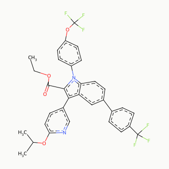 CCOC(=O)c1c(-c2ccc(OC(C)C)nc2)c2cc(-c3ccc(C(F)(F)F)cc3)ccc2n1-c1ccc(OC(F)(F)F)cc1